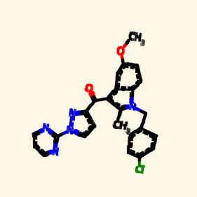 COc1ccc2c(c1)c(C(=O)c1ccn(-c3ncccn3)n1)c(C)n2Cc1ccc(Cl)cc1